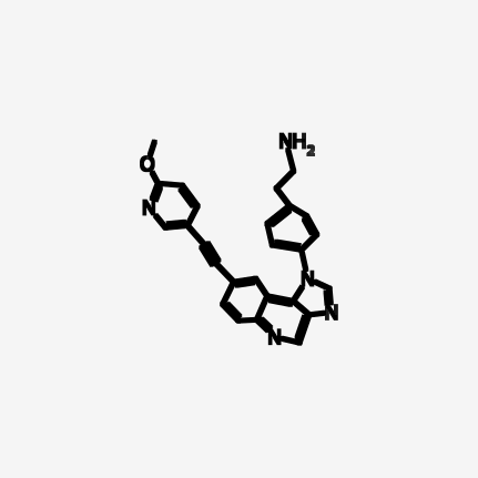 COc1ccc(C#Cc2ccc3ncc4ncn(-c5ccc(CCN)cc5)c4c3c2)cn1